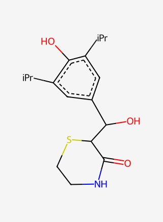 CC(C)c1cc(C(O)C2SCCNC2=O)cc(C(C)C)c1O